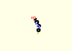 CC(C)(O)c1ccc(-c2ccn(-c3ccc(F)cc3)n2)nc1